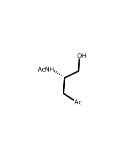 CC(=O)C[C@@H](CO)NC(C)=O